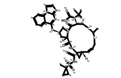 CC1CCC=C[C@@H]2C[C@@]2(C(=O)NS(=O)(=O)C2(C)CC2)NC(=O)[C@@H]2C[C@@H](Oc3nc4nccn4c4ccccc34)CN2C(=O)[C@@H](N(C(=O)O)C(C)(C)C)[C@H](C)C1